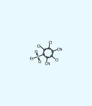 CCS(=O)(=O)c1c(Cl)c(Cl)c(C#N)c(Cl)c1C#N